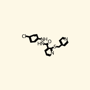 O=C(NNc1ccc(Cl)cc1)c1cccnc1SCc1ccncc1